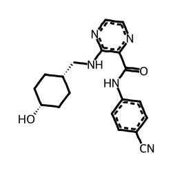 N#Cc1ccc(NC(=O)c2nccnc2NC[C@H]2CC[C@@H](O)CC2)cc1